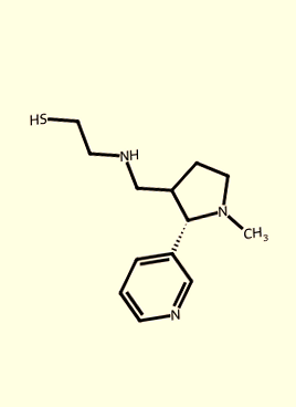 CN1CCC(CNCCS)[C@H]1c1cccnc1